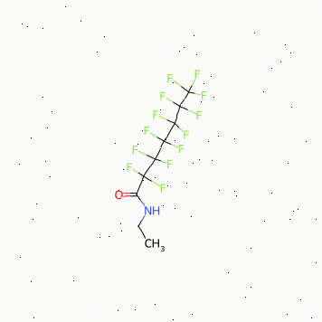 CCNC(=O)C(F)(F)C(F)(F)C(F)(F)C(F)(F)C(F)(F)C(F)(F)F